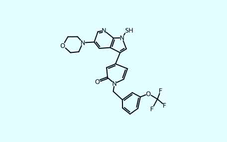 O=c1cc(-c2cn(S)c3ncc(N4CCOCC4)cc23)ccn1Cc1cccc(OC(F)(F)F)c1